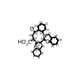 CC(=O)N1[C@H](CC2CCCCC2)C(=O)N(Cc2ccccc2)c2ccccc2C(=O)C[C@H]1C(=O)O